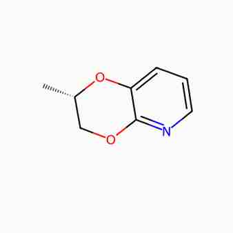 C[C@H]1COc2ncccc2O1